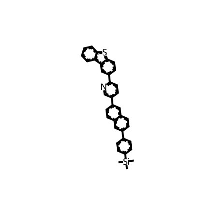 C[Si](C)(C)c1ccc(-c2ccc3cc(-c4ccc(-c5ccc6sc7ccccc7c6c5)nc4)ccc3c2)cc1